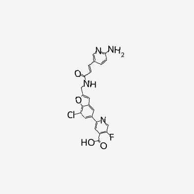 Nc1ccc(/C=C/C(=O)NCc2cc3cc(-c4cc(C(=O)O)c(F)cn4)cc(Cl)c3o2)cn1